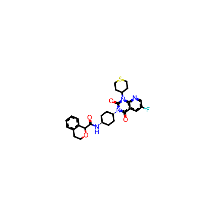 O=C(N[C@H]1CC[C@@H](n2c(=O)c3cc(F)cnc3n(C3CCSCC3)c2=O)CC1)C1OCCc2ccccc21